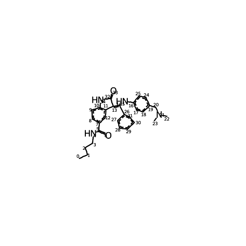 CCCCNC(=O)c1ccc2c(c1)/C(=C(/Nc1ccc(CN(C)C)cc1)c1ccccc1)C(=O)N2